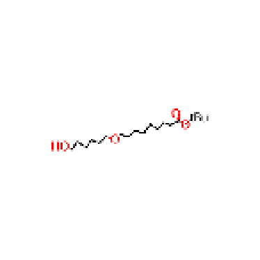 CC(C)(C)OC(=O)CCCCCCCCOCCCCCCO